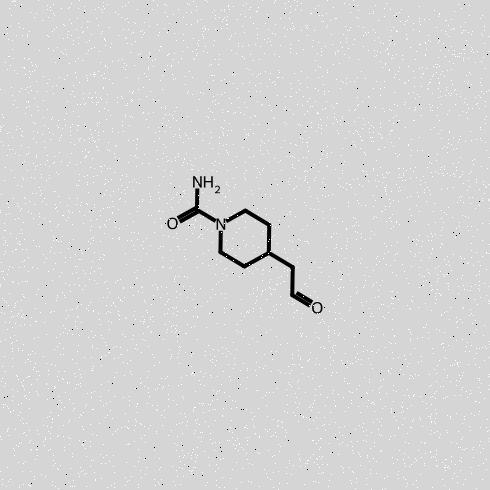 NC(=O)N1CCC(CC=O)CC1